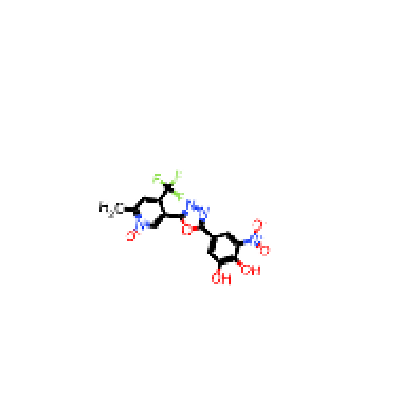 Cc1cc(C(F)(F)F)c(-c2nnc(-c3cc(O)c(O)c([N+](=O)[O-])c3)o2)c[n+]1[O-]